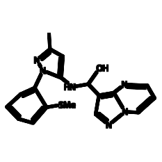 CSc1ccccc1-n1nc(C)cc1NC(O)c1cnn2cccnc12